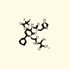 CC(C)C(NC(=O)Cn1c(-c2ccccc2)ccc(NC(=O)OCc2c[nH]cn2)c1=O)C(=O)C(F)(F)F.O=C(O)C(F)(F)F